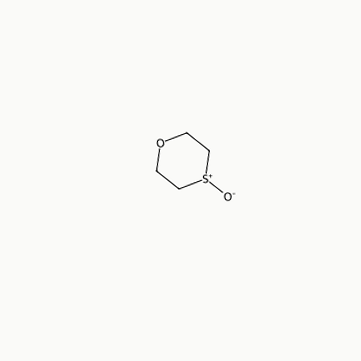 [O-][S+]1CCOCC1